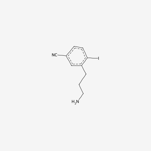 N#Cc1ccc(I)c(CCCN)c1